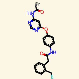 CC(C)C(=O)Nc1cc(Oc2ccc(NC(=O)Cc3ccccc3CF)cc2)ncn1